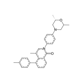 Cc1ccc(-c2cccc3c(=O)n(-c4ccc(N5CC(C)O[C@@H](C)C5)cc4)cc(C)c23)cc1